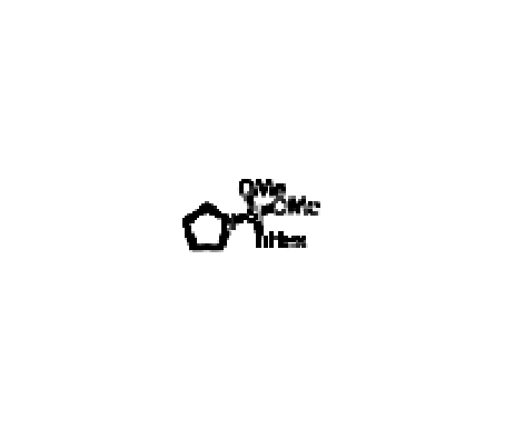 CCCCCC[Si](OC)(OC)N1CCCC1